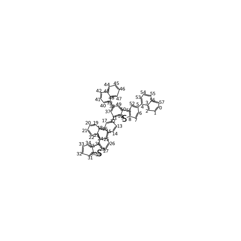 c1ccc2c(-c3ccc4sc5c(-c6ccc7c(c6)c6ccccc6c6c7ccc7sc8ccccc8c76)cc(-c6cccc7ccccc67)cc5c4c3)cccc2c1